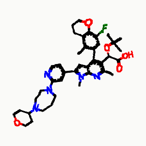 Cc1nc2c(cc(-c3ccnc(N4CCCN(C5CCOCC5)CC4)c3)n2C)c(-c2cc(F)c3c(c2C)CCCO3)c1[C@H](OC(C)(C)C)C(=O)O